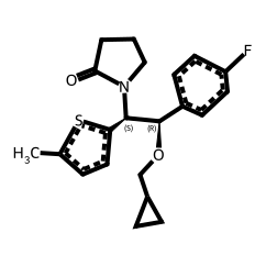 Cc1ccc([C@H]([C@H](OCC2CC2)c2ccc(F)cc2)N2CCCC2=O)s1